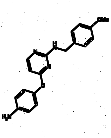 COc1ccc(CNc2nccc(Oc3ccc(N)cc3)n2)cc1